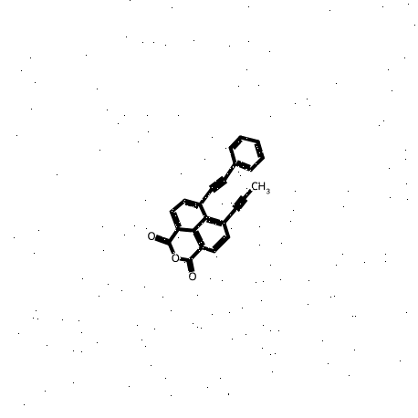 CC#Cc1ccc2c3c(ccc(C#Cc4ccccc4)c13)C(=O)OC2=O